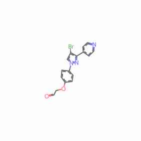 O=CCOc1ccc(-n2cc(Br)c(-c3ccncc3)n2)cc1